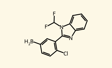 Bc1ccc(Cl)c(-c2nc3ccccc3n2C(F)F)c1